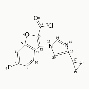 O=C(Cl)c1oc2cc(F)ccc2c1-n1cnc(C2CC2)c1